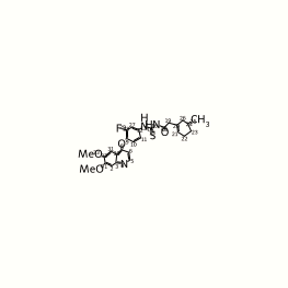 COc1cc2nccc(Oc3ccc(NC(=S)NC(=O)CC4=CCCC(C)C4)cc3F)c2cc1OC